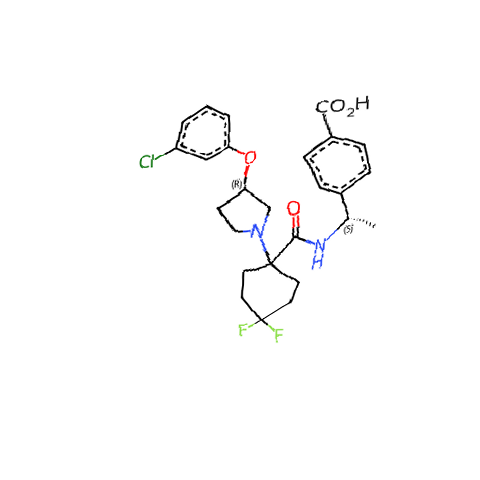 C[C@H](NC(=O)C1(N2CC[C@@H](Oc3cccc(Cl)c3)C2)CCC(F)(F)CC1)c1ccc(C(=O)O)cc1